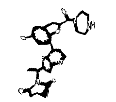 CC(c1cc2nccc(-c3cc(Cl)cc4c3OC(C(=O)N3CCNCC3)C4)c2s1)N1C(=O)CCC1=O